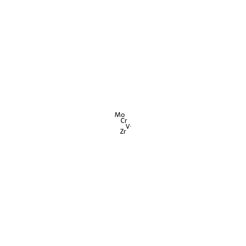 [Cr].[Mo].[V].[Zr]